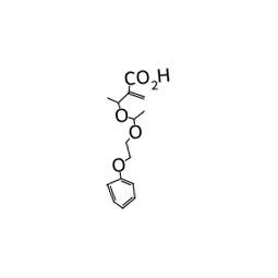 C=C(C(=O)O)C(C)OC(C)OCCOc1ccccc1